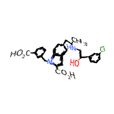 C[C@H](Cc1ccc2c(c1)cc(C(=O)O)n2Cc1cccc(C(=O)O)c1)NC[C@@H](O)c1cccc(Cl)c1